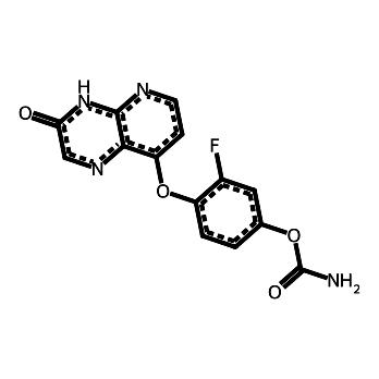 NC(=O)Oc1ccc(Oc2ccnc3[nH]c(=O)cnc23)c(F)c1